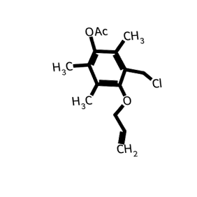 C=CCOc1c(C)c(C)c(OC(C)=O)c(C)c1CCl